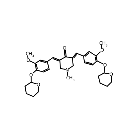 COc1cc(C=C2CN(C)CC(=Cc3ccc(OC4CCCCO4)c(OC)c3)C2=O)ccc1OC1CCCCO1